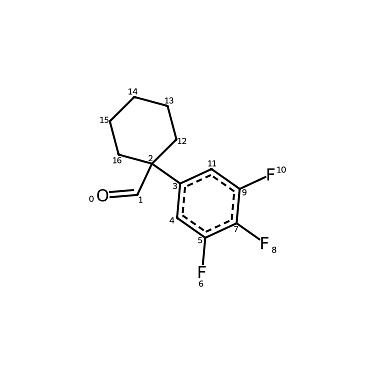 O=CC1(c2cc(F)c(F)c(F)c2)CCCCC1